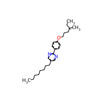 CCCCCCCCc1cnc(-c2ccc(OCCC[C@H](C)CC)cc2)nc1